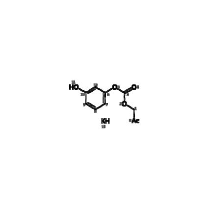 CC(=O)COC(=O)Oc1cccc(O)c1.[KH]